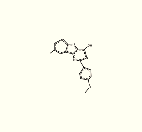 COc1ccc(-c2nc(O)c3oc4ccc(C)cc4c3n2)cc1